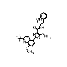 COc1ccc(-c2nc(C(=O)N[C@H](CO)Cc3ccccc3)c(CN)o2)c2ccc(C(F)(F)F)nc12